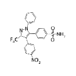 NS(=O)(=O)c1ccc(-c2c(-c3ccc([N+](=O)[O-])cc3)c(C(F)(F)F)nn2-c2ccccc2)cc1